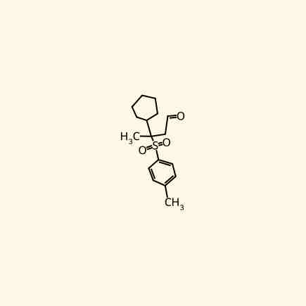 Cc1ccc(S(=O)(=O)C(C)(CC=O)C2CCCCC2)cc1